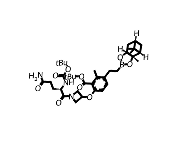 Cc1c(CCB2O[C@@H]3C[C@@H]4C[C@@H](C4(C)C)[C@]3(C)O2)ccc(OC2CN(C(=O)[C@@H](CCC(N)=O)NC(=O)OC(C)(C)C)C2)c1C(=O)OC(C)(C)C